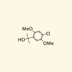 COc1cc(C(C)(C)O)c(OC)cc1Cl